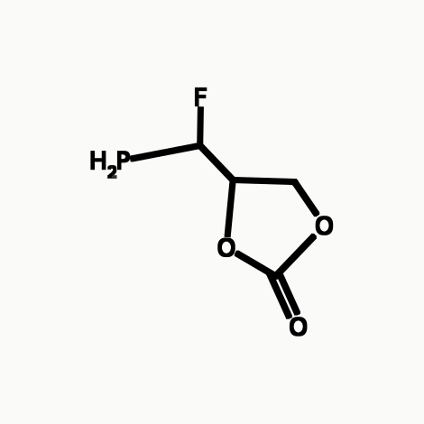 O=C1OCC(C(F)P)O1